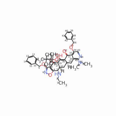 CCN[C@@H]1c2onc(OCc3ccccc3)c2C(=O)[C@@]2(O[Si](C)(C)C(C)(C)C)C(O)=C3C(=O)c4c(OCc5ccccc5)cnc(N(C)C)c4C[C@H]3C[C@@H]12